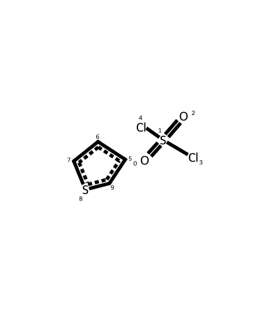 O=S(=O)(Cl)Cl.c1ccsc1